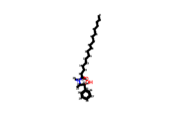 CCCCCCCCCCCCCCCCCC(=O)N(C)C(C)C(O)c1ccccc1